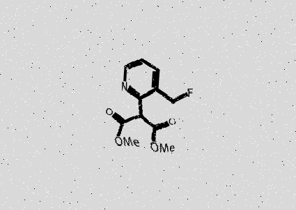 COC(=O)C(C(=O)OC)c1ncccc1CF